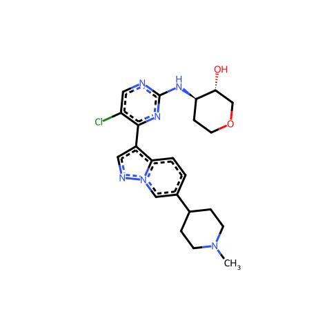 CN1CCC(c2ccc3c(-c4nc(N[C@@H]5CCOC[C@H]5O)ncc4Cl)cnn3c2)CC1